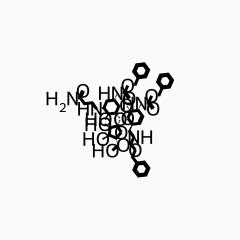 NC(=O)CCN[C@@H]1C[C@H](NC(=O)OCc2ccccc2)[C@@H](O[C@H]2O[C@H](CNC(=O)OCc3ccccc3)C=C[C@H]2NC(=O)OCc2ccccc2)[C@H](O[C@@H]2O[C@H](CO)[C@@H](O)[C@H]2O)[C@H]1O